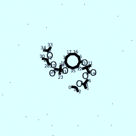 CC(C)OC(C)COC(=O)C(C)(C)OC1CCCCCC(OC(C)(C)C(=O)OCC(C)OC(C)C)CC1